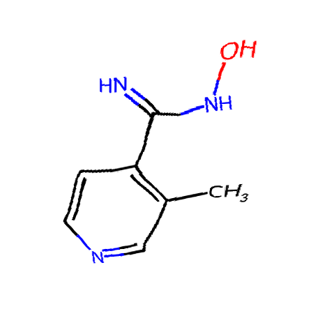 Cc1cnccc1C(=N)NO